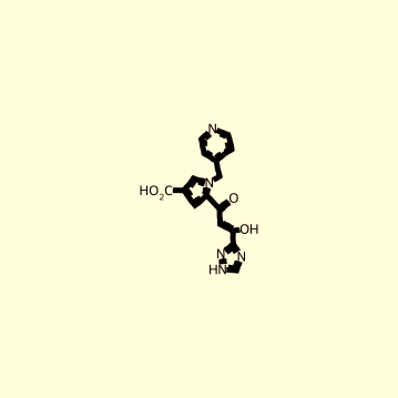 O=C(O)c1cc(C(=O)C=C(O)c2nc[nH]n2)n(Cc2ccncc2)c1